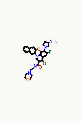 N[C@@H]1CCN(c2c(F)cc3c(=O)c(C(=O)NCCN4CCOCC4)cn4c3c2Oc2cc3ccccc3cc2-4)C1